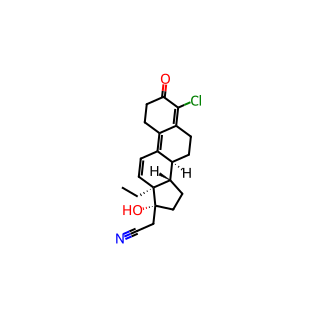 CC[C@]12C=CC3=C4CCC(=O)C(Cl)=C4CC[C@H]3[C@@H]1CC[C@@]2(O)CC#N